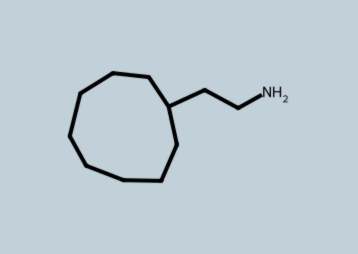 NCCC1CCCCCCCC1